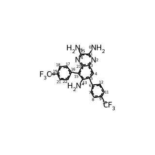 Nc1nc2cc(-c3ccc(C(F)(F)F)cc3)c(N)c(-c3ccc(C(F)(F)F)cc3)c2nc1N